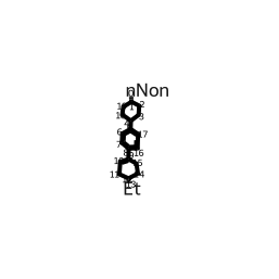 CCCCCCCCCC1CCC(c2ccc(C3=CCC(CC)CC3)cc2)CC1